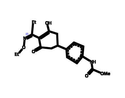 CCO/N=C(/CC)C1=C(O)CC(c2ccc(NC(=O)OC)cc2)CC1=O